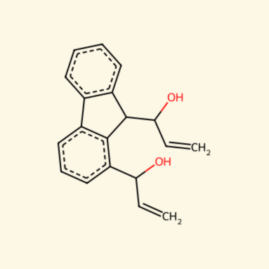 C=CC(O)c1cccc2c1C(C(O)C=C)c1ccccc1-2